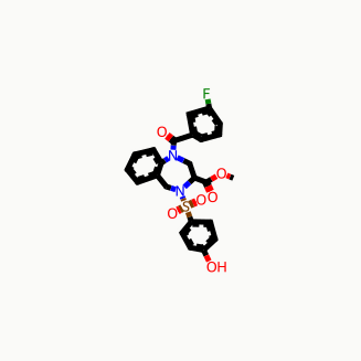 COC(=O)C1CN(C(=O)c2cccc(F)c2)c2ccccc2CN1S(=O)(=O)c1ccc(O)cc1